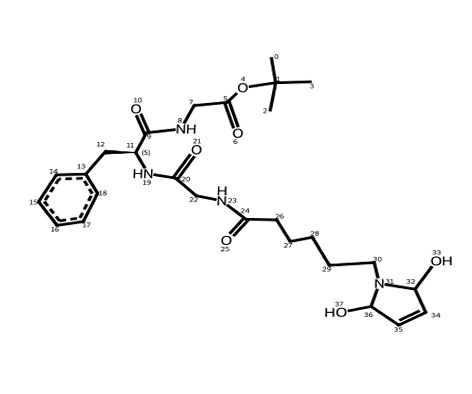 CC(C)(C)OC(=O)CNC(=O)[C@H](Cc1ccccc1)NC(=O)CNC(=O)CCCCCN1C(O)C=CC1O